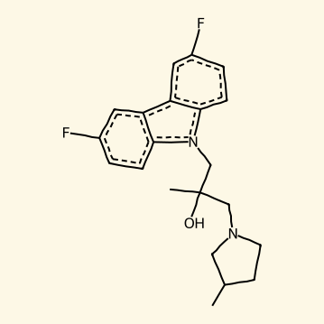 CC1CCN(CC(C)(O)Cn2c3ccc(F)cc3c3cc(F)ccc32)C1